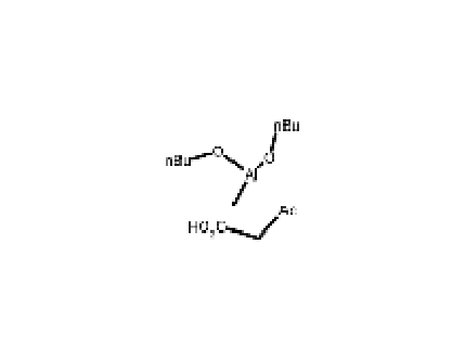 CC(=O)CC(=O)O.CCCC[O][Al]([CH3])[O]CCCC